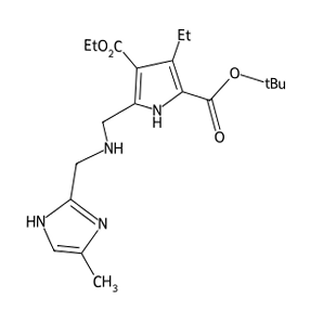 CCOC(=O)c1c(CNCc2nc(C)c[nH]2)[nH]c(C(=O)OC(C)(C)C)c1CC